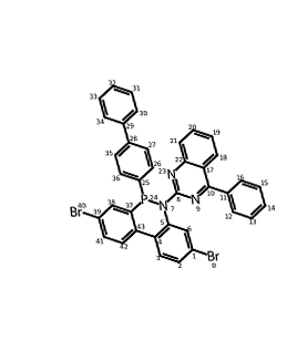 Brc1ccc2c(c1)N(c1nc(-c3ccccc3)c3ccccc3n1)P(c1ccc(-c3ccccc3)cc1)c1cc(Br)ccc1-2